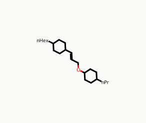 CCCCCCC1CCC(/C=C/COC2CCC(CCC)CC2)CC1